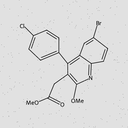 COC(=O)Cc1c(OC)nc2ccc(Br)cc2c1-c1ccc(Cl)cc1